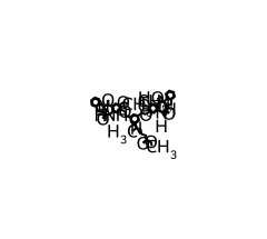 COC(=O)CCCN(C)c1cc(COc2cc3c(cc2OC)C(=O)N2c4ccccc4C[C@H]2C(=O)N3)cc(COc2cc3c(cc2OC)C(O)N2c4ccccc4C[C@H]2C(=O)N3)c1